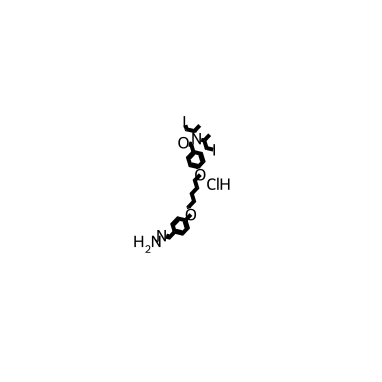 CC(CI)N(C(=O)c1ccc(OCCCCCOc2ccc(C=NN)cc2)cc1)C(C)CI.Cl